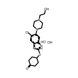 Cl.Cl.O=C1CCC(Sc2nc3cc(Cl)c(N4CCN(CCO)CC4)cc3[nH]2)CC1